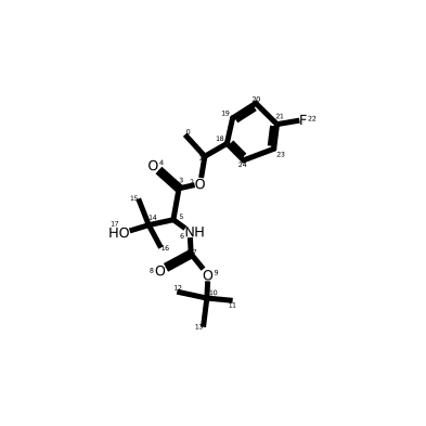 CC(OC(=O)C(NC(=O)OC(C)(C)C)C(C)(C)O)c1ccc(F)cc1